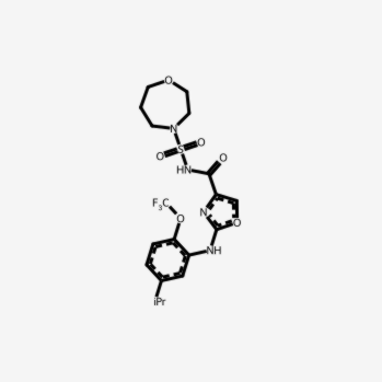 CC(C)c1ccc(OC(F)(F)F)c(Nc2nc(C(=O)NS(=O)(=O)N3CCCOCC3)co2)c1